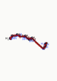 Cn1cc(NC(=O)c2nc(NC(=O)CCNC(=O)c3cc(NC(=O)c4nccn4C)cn3C)cn2C)cc1C(=O)NCCCC(=O)Nc1cn(C)c(C(=O)NCCC(=O)Nc2cc(C(=O)Nc3cn(C)c(C(=O)NCCC(=O)NCCOCCOCCOCCOCCOCCOCCn4cc(CC(=O)Nc5ccc(C(=O)Nc6ccccc6N)cc5)nn4)n3)n(C)c2)n1